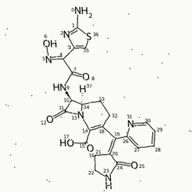 Nc1nc(C(=NO)C(=O)N[C@@H]2C(=O)N3C(C(=O)O)=C(C(=C4CCNC4=O)c4ccccn4)CC[C@H]23)cs1